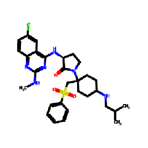 CNc1nc(N[C@H]2CCN(C3(CS(=O)(=O)c4ccccc4)CCC(NCC(C)C)CC3)C2=O)c2cc(Cl)ccc2n1